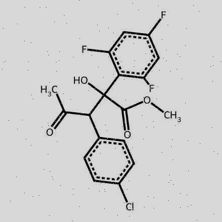 COC(=O)C(O)(c1c(F)cc(F)cc1F)C(C(C)=O)c1ccc(Cl)cc1